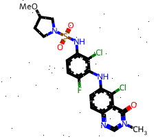 COC1CCN(S(=O)(=O)Nc2ccc(F)c(Nc3ccc4ncn(C)c(=O)c4c3Cl)c2Cl)C1